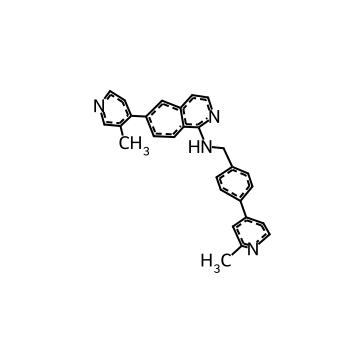 Cc1cc(-c2ccc(CNc3nccc4cc(-c5ccncc5C)ccc34)cc2)ccn1